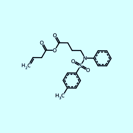 C=CCC(=O)OC(=O)CCCN(c1ccccc1)S(=O)(=O)c1ccc(C)cc1